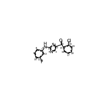 O=C(c1cnc(Nc2cccc(F)c2)s1)c1ccccc1Cl